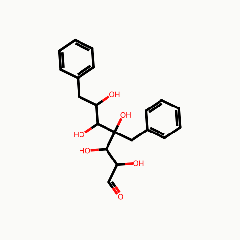 O=CC(O)C(O)C(O)(Cc1ccccc1)C(O)C(O)Cc1ccccc1